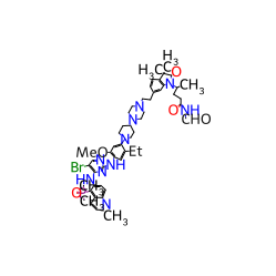 CCc1cc(Nc2ncc(Br)c(Nc3ccc4nc(C)ccc4c3P(C)(C)=O)n2)c(OC)cc1N1CCC(N2CCN(CCc3ccc4c(c3)N(C(C)CCC(=O)NC=O)C(=O)C4(C)C)CC2)CC1